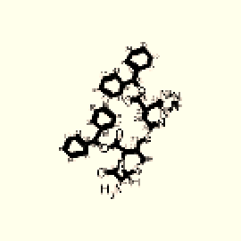 N[C@@H]1C(=O)N2C(C(=O)OC(c3ccccc3)c3ccccc3)=C(CSc3cc(C(=O)OC(c4ccccc4)c4ccccc4)c4nnnn4n3)CS[C@H]12